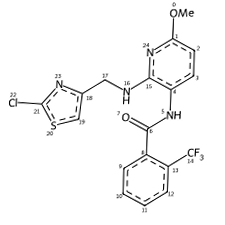 COc1ccc(NC(=O)c2ccccc2C(F)(F)F)c(NCc2csc(Cl)n2)n1